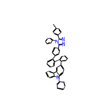 Cc1ccc(-c2nnc(-c3ccc(-c4ccccc4-c4ccccc4-c4ccc5c(c4)c4ccccc4n5-c4ccccc4)cc3)n2-c2ccccc2)cc1